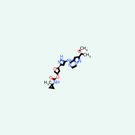 COC(C)c1cc2c(Nc3cc([C@H]4C[C@@H](OC(=O)NC5(C)CC5)CO4)n[nH]3)nccn2n1